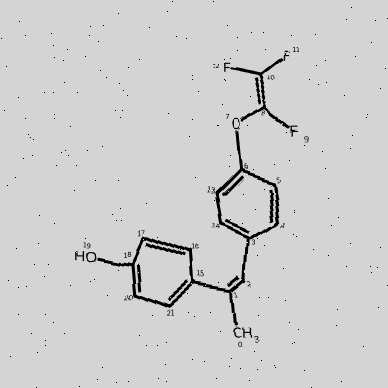 CC(=Cc1ccc(OC(F)=C(F)F)cc1)c1ccc(O)cc1